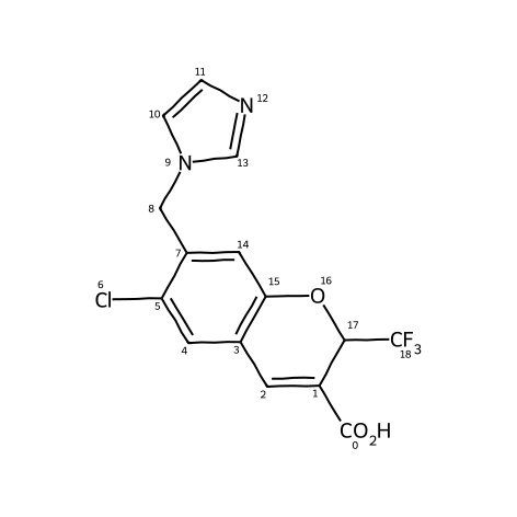 O=C(O)C1=Cc2cc(Cl)c(Cn3ccnc3)cc2OC1C(F)(F)F